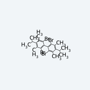 Cc1c(Br)c(-c2c(Br)c(C)c(C(C)C)c(C)c2Br)c(Br)c(C)c1C(C)C